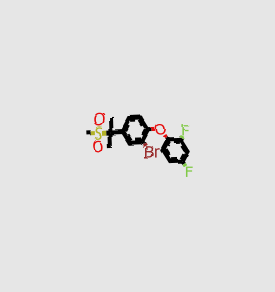 CC(C)(c1ccc(Oc2ccc(F)cc2F)c(Br)c1)S(C)(=O)=O